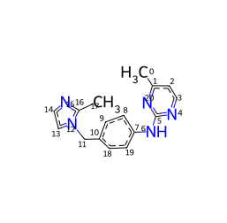 Cc1ccnc(Nc2ccc(Cn3ccnc3C)cc2)n1